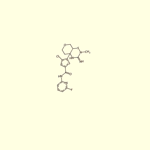 CN1SC2COCCC2(c2sc(C(=O)Nc3cccc(F)n3)cc2Cl)NC1=N